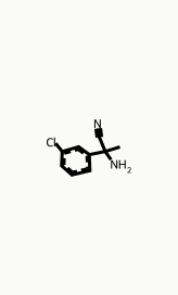 CC(N)(C#N)c1cccc(Cl)c1